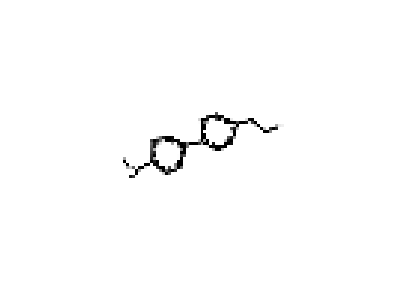 [CH2]CCc1ccc(-c2ccc(OC)cc2)cc1